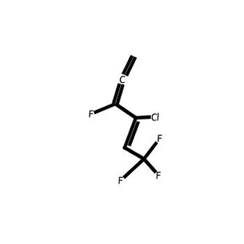 C=C=C(F)C(Cl)=CC(F)(F)F